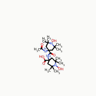 CC(=O)NC1(C(=O)NC2(C(=O)O)CC(C)(C)N(O)C(C)(C)C2)CC(C)(C)N(O)C(C)(C)C1